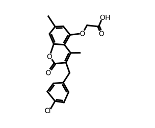 Cc1cc(OCC(=O)O)c2c(C)c(Cc3ccc(Cl)cc3)c(=O)oc2c1